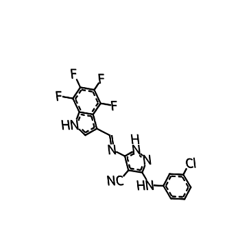 N#Cc1c(Nc2cccc(Cl)c2)n[nH]c1/N=C/c1c[nH]c2c(F)c(F)c(F)c(F)c12